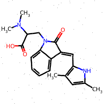 Cc1cc(C)c(C=C2C(=O)N(CC(C(=O)O)N(C)C)c3ccccc32)[nH]1